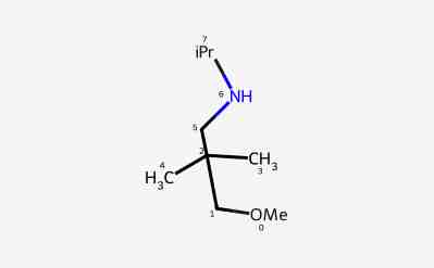 COCC(C)(C)CNC(C)C